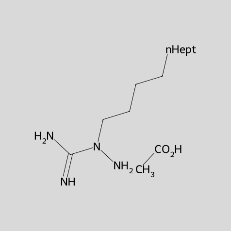 CC(=O)O.CCCCCCCCCCCN(N)C(=N)N